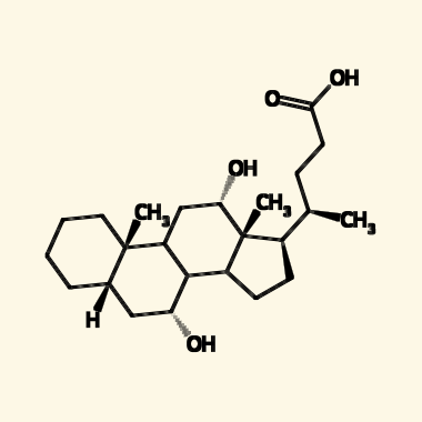 C[C@H](CCC(=O)O)[C@H]1CCC2C3C(C[C@H](O)[C@@]21C)[C@@]1(C)CCCC[C@H]1C[C@H]3O